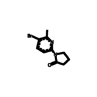 Cc1nc(N2CCCC2=O)ccc1Br